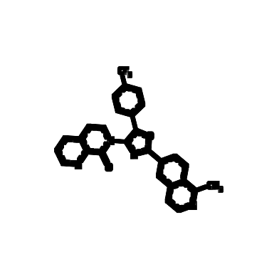 Cc1nccc2cc(-c3nc(-n4ccc5cccnc5c4=O)c(-c4ccc(C(F)(F)F)cc4)o3)ccc12